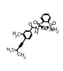 Cc1cc(C(=O)NS(=O)(=O)c2ccccc2S(N)(=O)=O)ccc1C#CC(C)C